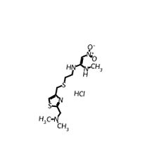 CN/C(=C\[N+](=O)[O-])NCCSCc1csc(CN(C)C)n1.Cl